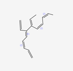 C=C/C=C\C=C(/C=C)C(=CC)/C=C\C=C/C